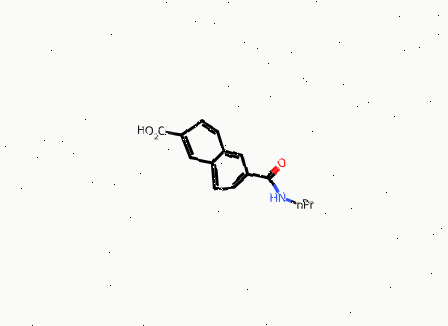 CCCNC(=O)c1ccc2cc(C(=O)O)ccc2c1